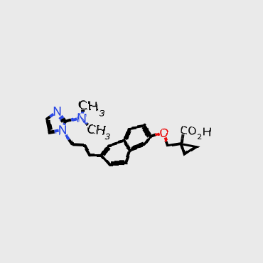 CN(C)c1nccn1CCCc1ccc2cc(OCC3(C(=O)O)CC3)ccc2c1